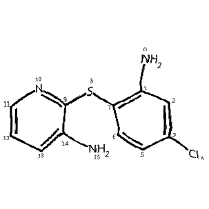 Nc1cc(Cl)ccc1Sc1ncccc1N